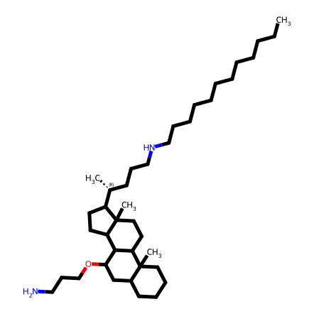 CCCCCCCCCCCCNCCC[C@@H](C)C1CCC2C3C(OCCCN)CC4CCCCC4(C)C3CCC21C